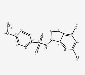 O=S(=O)(NC1CCc2c(Cl)cc(Cl)cc21)c1ccc(OC(F)(F)F)cc1